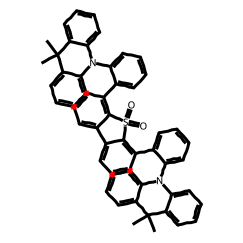 CC1(C)c2ccccc2N(c2ccccc2-c2cccc3c2S(=O)(=O)c2c(-c4ccccc4N4c5ccccc5C(C)(C)c5ccccc54)cccc2-3)c2ccccc21